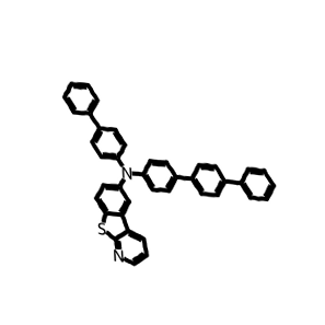 c1ccc(-c2ccc(-c3ccc(N(c4ccc(-c5ccccc5)cc4)c4ccc5sc6ncccc6c5c4)cc3)cc2)cc1